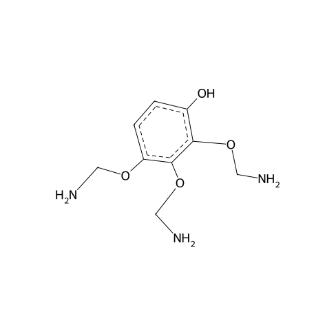 NCOc1ccc(O)c(OCN)c1OCN